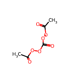 CC(=O)OOC(=O)OOC(C)=O